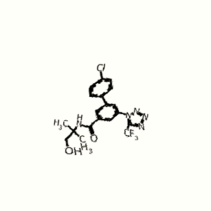 CC(C)(CO)NC(=O)c1cc(-c2ccc(Cl)cc2)cc(-n2nnnc2C(F)(F)F)c1